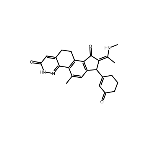 CN/C(C)=C1\C(=O)c2c(cc(C)c3c2CCc2cc(=O)[nH]nc2-3)C1C1=CC(=O)CCC1